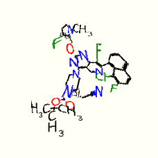 CN1CC[C@@H](F)[C@@H]1COc1nc(N2CCN(C(=O)OC(C)(C)C)[C@@H](CC#N)C2)c2cnc(-c3cccc4ccc(F)c(Cl)c34)c(F)c2n1